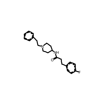 O=C(CCc1ccc(F)cc1)NC1CCN(CCc2ccccc2)CC1